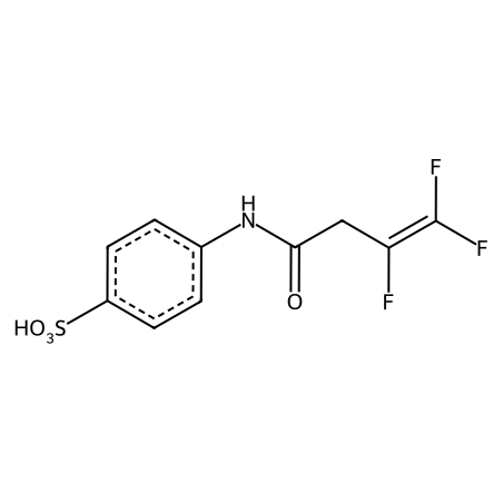 O=C(CC(F)=C(F)F)Nc1ccc(S(=O)(=O)O)cc1